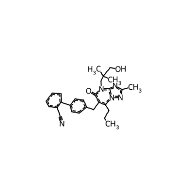 CCCc1c(Cc2ccc(-c3ccccc3C#N)cc2)c(=O)n(CC(C)(C)CO)c2nc(C)nn12